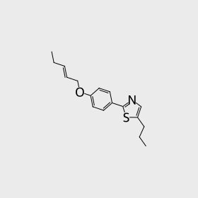 CC/C=C/COc1ccc(-c2ncc(CCC)s2)cc1